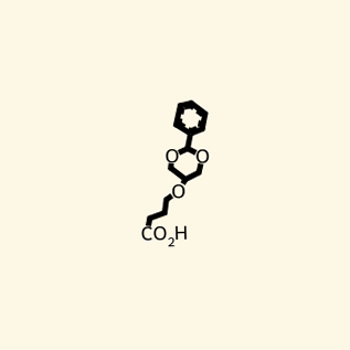 O=C(O)CCCOC1COC(c2ccccc2)OC1